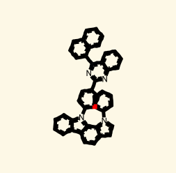 c1ccc(-n2ccc3ccc4c5ccccc5n(-c5ccc(-c6nc(-c7cccc8ccccc78)c7ccccc7n6)cc5)c4c32)cc1